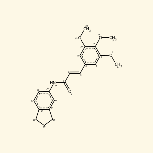 COc1cc(/C=C/C(=O)Nc2ccc3c(c2)CCC3)cc(OC)c1OC